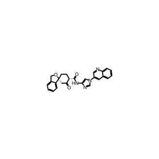 O=C1C[C@@]2(CC[C@@H]1C(=O)Nc1cn(-c3cnc4ccccc4c3)cn1)OCc1ccccc12